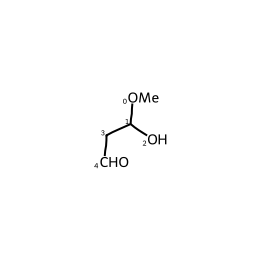 COC(O)CC=O